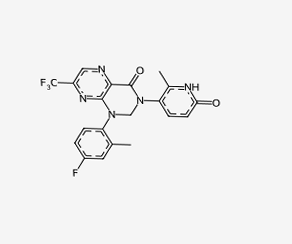 Cc1cc(F)ccc1N1CN(c2ccc(=O)[nH]c2C)C(=O)c2ncc(C(F)(F)F)nc21